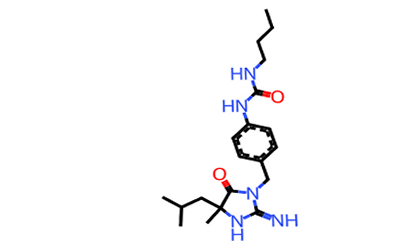 CCCCNC(=O)Nc1ccc(CN2C(=N)NC(C)(CC(C)C)C2=O)cc1